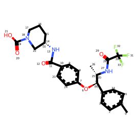 Cc1ccc([C@@H](Oc2ccc(C(=O)N[C@H]3CCCN(C(=O)O)C3)cc2)[C@H](C)NC(=O)C(F)(F)F)cc1